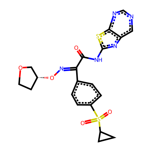 O=C(Nc1nc2cncnc2s1)/C(=N/O[C@@H]1CCOC1)c1ccc(S(=O)(=O)C2CC2)cc1